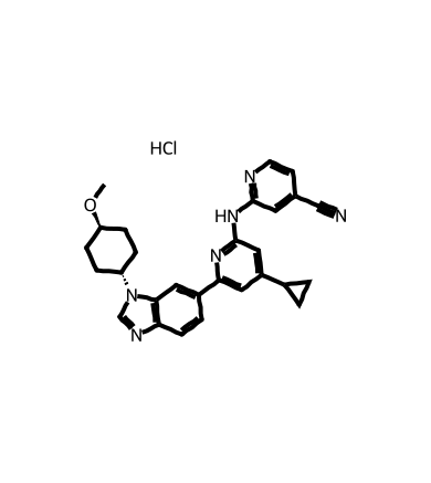 CO[C@H]1CC[C@H](n2cnc3ccc(-c4cc(C5CC5)cc(Nc5cc(C#N)ccn5)n4)cc32)CC1.Cl